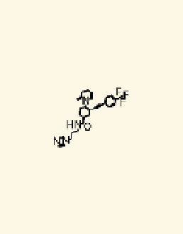 C=C1C=CC=CN1c1ccc(C(=O)NCCCn2ccnc2)cc1C#Cc1ccc(C(F)(F)F)cc1